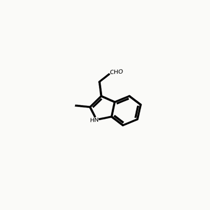 Cc1[nH]c2ccccc2c1CC=O